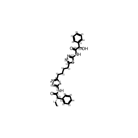 CC[C@H](C(=O)Nc1nnc(CCCCc2nnc(NC(=O)[C@H](O)c3ccccc3)s2)s1)c1ccccc1